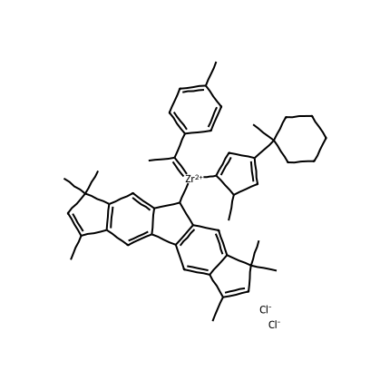 CC1=CC(C)(C)c2cc3c(cc21)-c1cc2c(cc1[CH]3/[Zr+2]([C]1=CC(C3(C)CCCCC3)=CC1C)=[C](\C)c1ccc(C)cc1)C(C)(C)C=C2C.[Cl-].[Cl-]